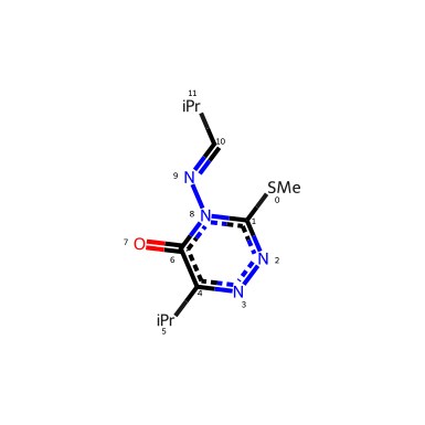 CSc1nnc(C(C)C)c(=O)n1N=CC(C)C